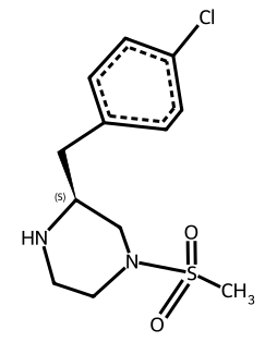 CS(=O)(=O)N1CCN[C@@H](Cc2ccc(Cl)cc2)C1